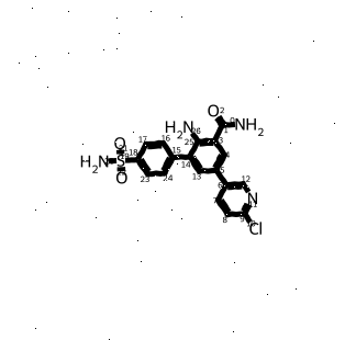 NC(=O)c1cc(-c2ccc(Cl)nc2)cc(-c2ccc(S(N)(=O)=O)cc2)c1N